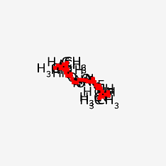 Cc1ccc(-n2nc(C(C)(C)C)cc2NC(=O)Nc2ccc(OCc3ccnc(NC(=O)CCC(=O)Nc4cc(CCc5ccc(NC(=O)Nc6cc(C(C)(C)C)nn6-c6ccc(F)cc6)c(F)c5)ccn4)c3)cc2F)cc1